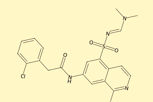 CN(C)/C=N/S(=O)(=O)c1cc(NC(=O)Cc2ccccc2Cl)cc2c(Cl)nccc12